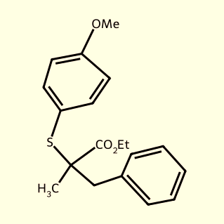 CCOC(=O)C(C)(Cc1ccccc1)Sc1ccc(OC)cc1